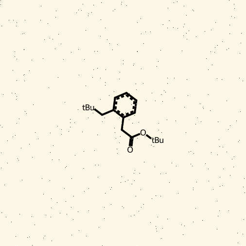 CC(C)(C)Cc1ccccc1CC(=O)OC(C)(C)C